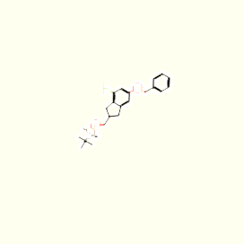 CC(C)(C)[Si](C)(C)OCC1Cc2cc(OCc3ccccc3)cc(F)c2C1